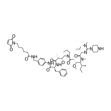 CC[C@H](C)[C@@H]([C@@H](CC(=O)N1CCC[C@H]1[C@H](OC)[C@@H](C)C(=O)N[C@@H](Cc1ccccc1)C(=O)Nc1ccc(CNC(=O)CCCCCN2C(=O)C=CC2=O)cc1)OC)N(C)C(=O)[C@@H](N=C(N(C)C)N1CCNCC1)C(C)C